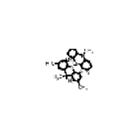 Cc1cc(C)c2c(c1)C(C)(C)c1cc(C)cc(C)c1N2B1c2ccccc2N(C)c2ccccc21